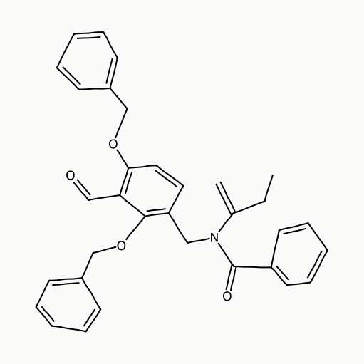 C=C(CC)N(Cc1ccc(OCc2ccccc2)c(C=O)c1OCc1ccccc1)C(=O)c1ccccc1